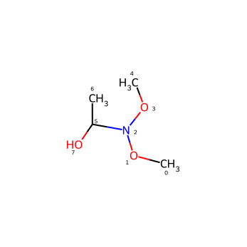 CON(OC)C(C)O